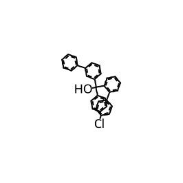 OC(c1ccccc1)(c1cccc(-c2ccccc2)c1)c1ccccc1-c1ccc(Cl)cc1